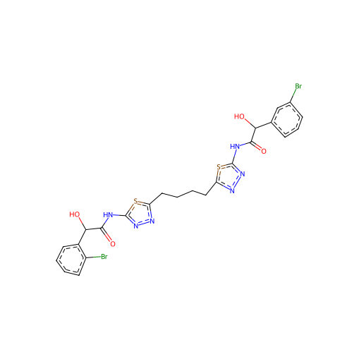 O=C(Nc1nnc(CCCCc2nnc(NC(=O)C(O)c3ccccc3Br)s2)s1)C(O)c1cccc(Br)c1